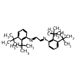 CC(C)(C)c1cccc(N=CC=Nc2cccc(C(C)(C)C)c2C(C)(C)C)c1C(C)(C)C